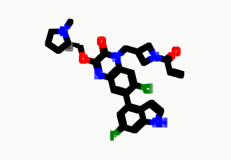 C=CC(=O)N1CC(Cn2c(=O)c(OC[C@@H]3CCCN3C)nc3cc(-c4cc(F)cc5[nH]ccc45)c(Cl)cc32)C1